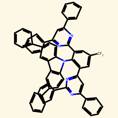 FC(F)(F)c1cc(-c2cc(-c3ccccc3)nc(-c3ccccc3)n2)c(-n2c3ccc(-c4ccccc4)cc3c3cc(-c4ccccc4)ccc32)c(-c2nc(-c3ccccc3)cc(-c3ccccc3)n2)c1